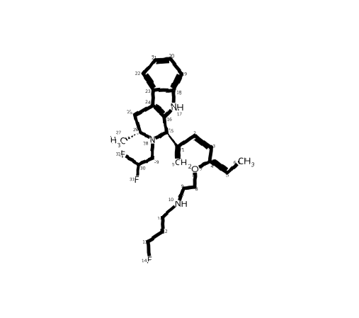 C=C(/C=C\C(=C/C)OCCNCCCF)[C@@H]1c2[nH]c3ccccc3c2C[C@@H](C)N1CC(F)F